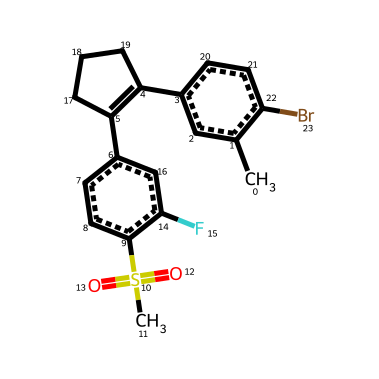 Cc1cc(C2=C(c3ccc(S(C)(=O)=O)c(F)c3)CCC2)ccc1Br